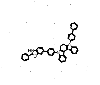 c1ccc(-c2ccc(-n3c4c(c5ccccc53)-c3c(n(-c5ccc(-c6ccc7c(c6)OC(c6ccccc6)N7)cc5)c5ccccc35)CC4)cc2)cc1